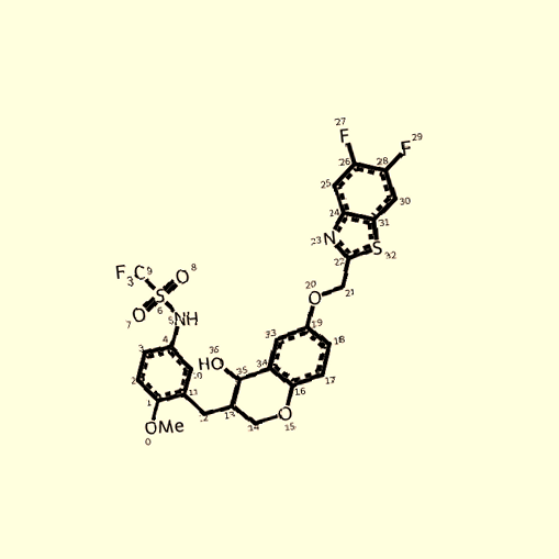 COc1ccc(NS(=O)(=O)C(F)(F)F)cc1CC1COc2ccc(OCc3nc4cc(F)c(F)cc4s3)cc2C1O